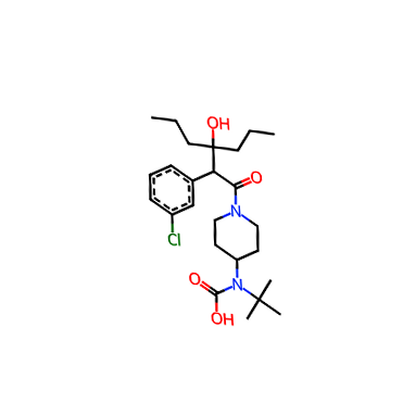 CCCC(O)(CCC)C(C(=O)N1CCC(N(C(=O)O)C(C)(C)C)CC1)c1cccc(Cl)c1